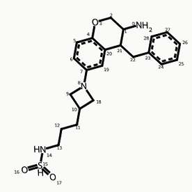 NC1COc2ccc(N3CC(CCCN[SH](=O)=O)C3)cc2C1Cc1ccccc1